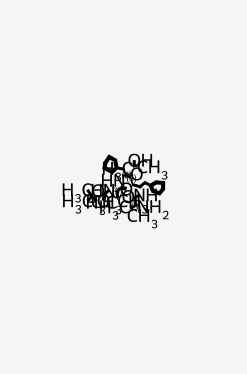 CC(C)[C@H](N)C(=O)NC(Cc1ccccc1)C[C@H](OC(C)(C)O)[C@H](Cc1ccccc1)NC(=O)[C@@H](NC(=O)OC(C)(C)C)C(C)C